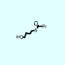 CC(C)C(=O)SCCCCO